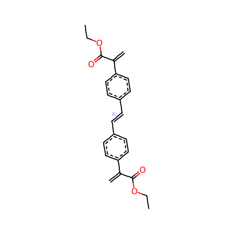 C=C(C(=O)OCC)c1ccc(/C=C/c2ccc(C(=C)C(=O)OCC)cc2)cc1